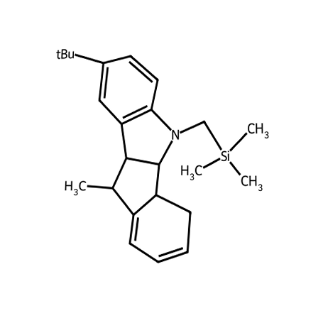 CC1C2=CC=CCC2C2C1c1cc(C(C)(C)C)ccc1N2C[Si](C)(C)C